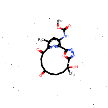 CC(C)(C)OC(=O)Nc1cc(C(F)(F)F)c2nc1-c1nnc(o1)C(O)(C(F)(F)F)CCCC(=O)CCC2=O